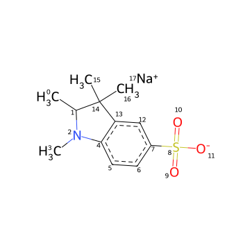 CC1N(C)c2ccc(S(=O)(=O)[O-])cc2C1(C)C.[Na+]